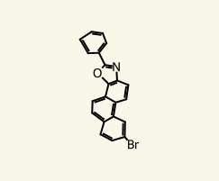 Brc1ccc2ccc3c(ccc4nc(-c5ccccc5)oc43)c2c1